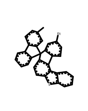 CCc1ccc2c(c1)C1(c3ccccc3-c3ccc(C)cc31)c1ccc3sc4ccccc4c3c1-2